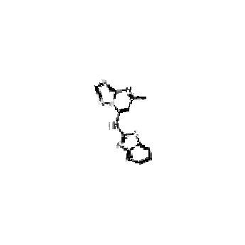 Cc1cc(Nc2nc3ccccc3s2)n2ncnc2n1